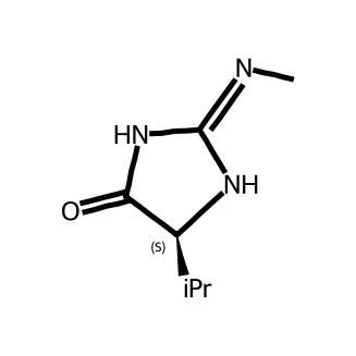 CN=C1NC(=O)[C@H](C(C)C)N1